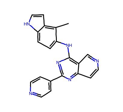 Cc1c(Nc2nc(-c3ccncc3)nc3ccncc23)ccc2[nH]ccc12